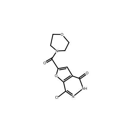 O=C(c1cc2c(=O)[nH]nc(Cl)c2o1)N1CCOCC1